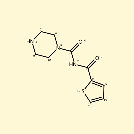 O=C(NC(=O)N1CCNCC1)c1cccs1